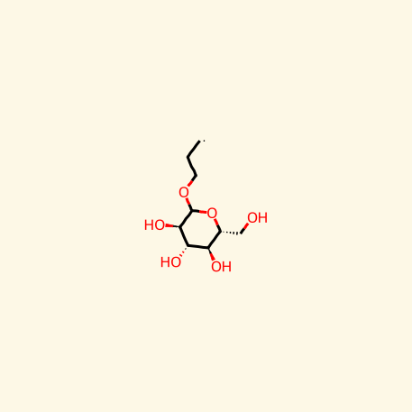 [CH2]CCOC1O[C@H](CO)[C@@H](O)[C@H](O)[C@H]1O